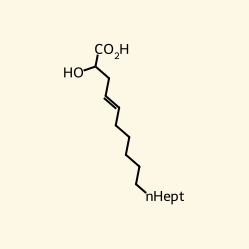 CCCCCCCCCCCCC=CCC(O)C(=O)O